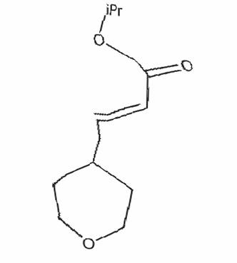 CC(C)OC(=O)C=CC1CCOCC1